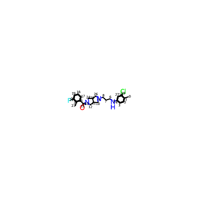 Cc1ccc(NCCCN2CC3CN(C(=O)c4cccc(F)c4C)CC3C2)cc1Cl